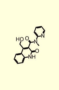 CN(C(=O)c1c(CO)c2ccccc2[nH]c1=O)c1ccccn1